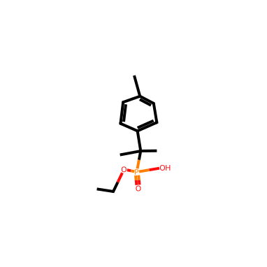 CCOP(=O)(O)C(C)(C)c1ccc(C)cc1